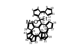 CCC(OC)(C1=CC=CC1=C1C=CC=C1)C(C1=CC=CC1=C1C=CC=C1)=C(C1=CC=CC1=C1C=CC=C1)C1=CC=CC1=C1C=CC=C1